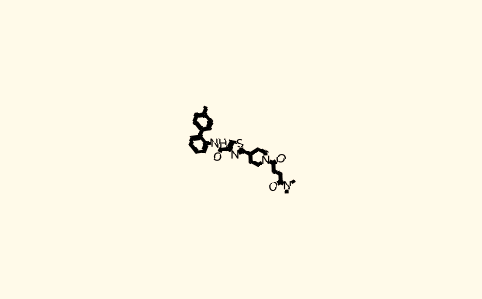 Cc1ccc(-c2ccccc2NC(=O)c2csc(C3CCN(C(=O)CCC(=O)N(C)C)CC3)n2)cc1